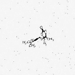 CC1OC(=O)OC1(C)OCC#C[SH](C)C